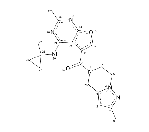 Cc1cc2n(n1)CCN(C(=O)c1coc3nc(C)nc(NC4(C)CC4)c13)C2